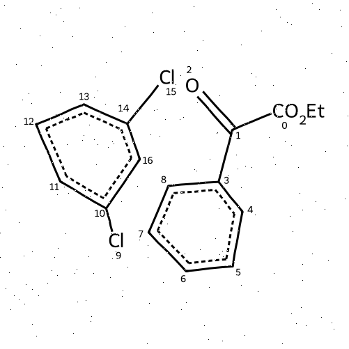 CCOC(=O)C(=O)c1ccccc1.Clc1cccc(Cl)c1